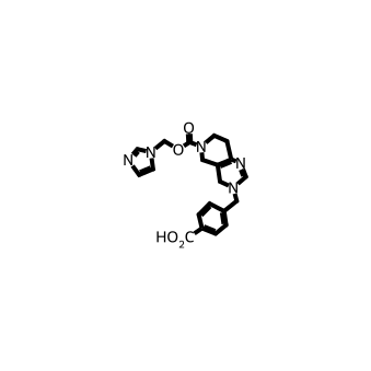 O=C(O)c1ccc(CN2C=NC3=C(C2)CN(C(=O)OCn2ccnc2)CC3)cc1